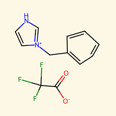 O=C([O-])C(F)(F)F.c1ccc(C[n+]2cc[nH]c2)cc1